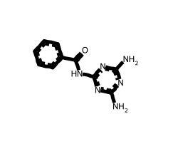 Nc1nc(N)nc(NC(=O)c2ccccc2)n1